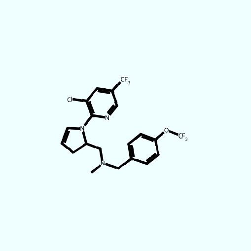 CN(Cc1ccc(OC(F)(F)F)cc1)CC1CC=CN1c1ncc(C(F)(F)F)cc1Cl